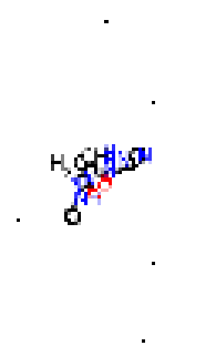 CC1(C)C[C@@H](C(=O)NCc2cc3cnccc3[nH]2)n2c1cnc(NCc1ccccc1)c2=O